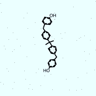 CC(C)(c1ccc(Cc2ccc(O)cc2)cc1)c1ccc(Cc2ccc(O)cc2)cc1